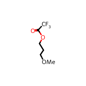 COCCCOC(=O)C(F)(F)F